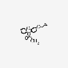 C=CC(=O)Oc1ccccc1Oc1cccc(OCC2CC2)c1